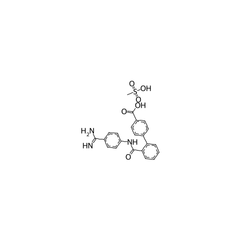 CS(=O)(=O)O.N=C(N)c1ccc(NC(=O)c2ccccc2-c2ccc(C(=O)O)cc2)cc1